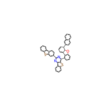 C1=CC(c2ccc3ccccc3c2)C2Oc3cccc(-c4nc(-c5ccc6c(c5)sc5ccccc56)nc5c4sc4ccccc45)c3C2=C1